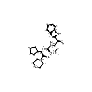 CC[C@H](NC(=O)O[C@H](C(=O)N1CCOCC1)C1CCCC1)C(=O)c1nc2ccccc2o1